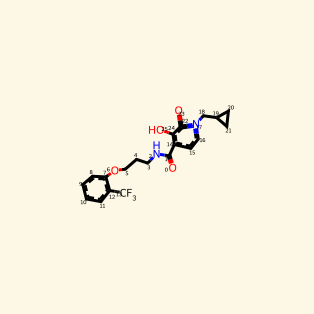 O=C(NCCCOc1ccccc1C(F)(F)F)c1ccn(CC2CC2)c(=O)c1O